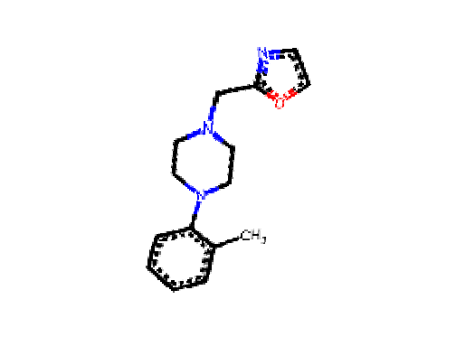 Cc1ccccc1N1CCN(Cc2ncco2)CC1